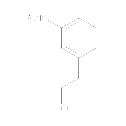 CC(=O)Nc1cc[c]c(CCC(C)C)c1